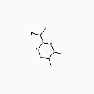 CC1COC(C(F)F)OC1C